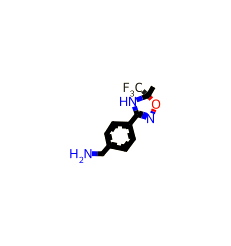 CC1(C(F)(F)F)NC(c2ccc(CN)cc2)=NO1